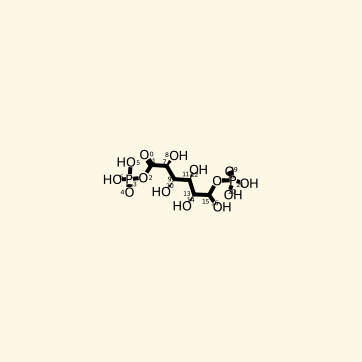 O=C(OP(=O)(O)O)[C@@H](O)[C@@H](O)[C@H](O)[C@@H](O)C(O)OP(=O)(O)O